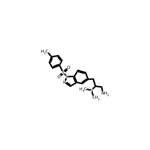 Cc1ccc(S(=O)(=O)n2ncc3cc(CC(CN)N(C)C)ccc32)cc1